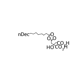 CCCCCCCCCCCCCCCCCC(=O)OC(=O)CC(O)(CC(=O)O)C(=O)O